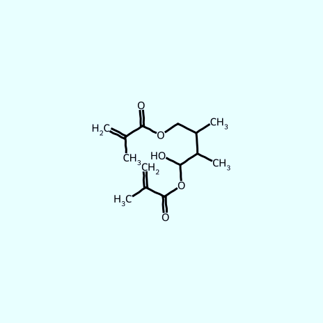 C=C(C)C(=O)OCC(C)C(C)C(O)OC(=O)C(=C)C